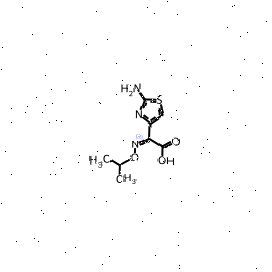 CC(C)O/N=C(\C(=O)O)c1csc(N)n1